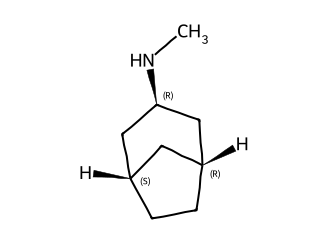 CN[C@H]1C[C@@H]2CC[C@@H](C2)C1